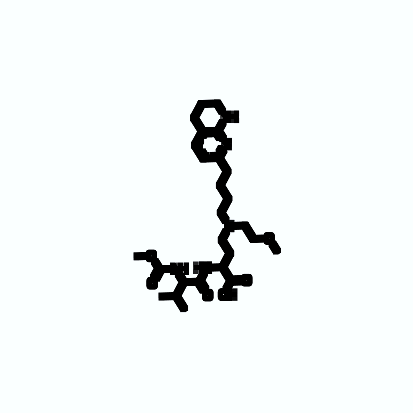 COCCN(CCCCc1ccc2c(n1)NCCC2)CCC(NC(=O)C(NC(=O)OC)C(C)C)C(=O)O